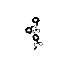 CCOC(=O)c1ccc(NC(=O)N(Cc2ccccc2)Cc2ccccc2)cc1